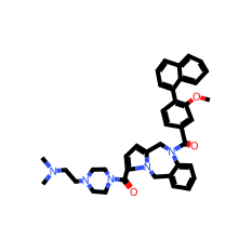 COc1cc(C(=O)N2Cc3ccc(C(=O)N4CCN(CCN(C)C)CC4)n3Cc3ccccc32)ccc1-c1cccc2ccccc12